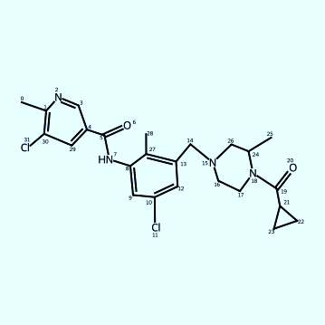 Cc1ncc(C(=O)Nc2cc(Cl)cc(CN3CCN(C(=O)C4CC4)C(C)C3)c2C)cc1Cl